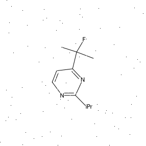 CC(C)c1nccc(C(C)(C)F)n1